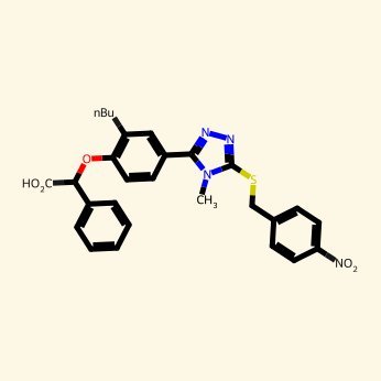 CCCCc1cc(-c2nnc(SCc3ccc([N+](=O)[O-])cc3)n2C)ccc1OC(C(=O)O)c1ccccc1